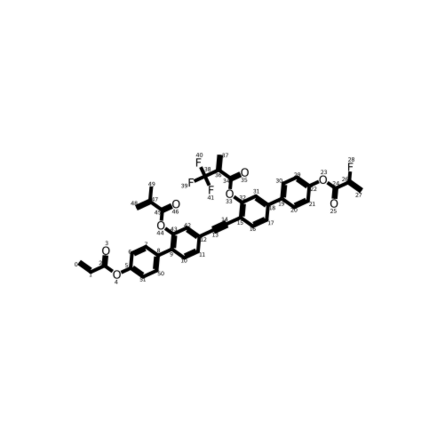 C=CC(=O)Oc1ccc(-c2ccc(C#Cc3ccc(-c4ccc(OC(=O)C(=C)F)cc4)cc3OC(=O)C(=C)C(F)(F)F)cc2OC(=O)C(=C)C)cc1